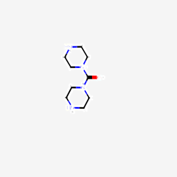 O=C(N1CCNCC1)N1CCNCC1